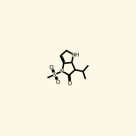 CC(C)C1C(=O)N(S(C)(=O)=O)C2=CCNC21